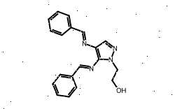 OCCn1ncc(N=Cc2ccccc2)c1N=Cc1ccccc1